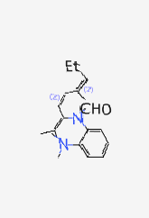 CC/C=C(C)\C=C/C(=C(C)C)N(C=O)c1ccccc1N(C)C